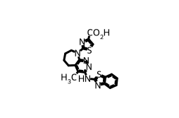 Cc1c(Nc2nc3ccccc3s2)nnc2c1CCCCN2c1nc(C(=O)O)cs1